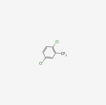 FC(F)(F)c1[c]c(Cl)ccc1Cl